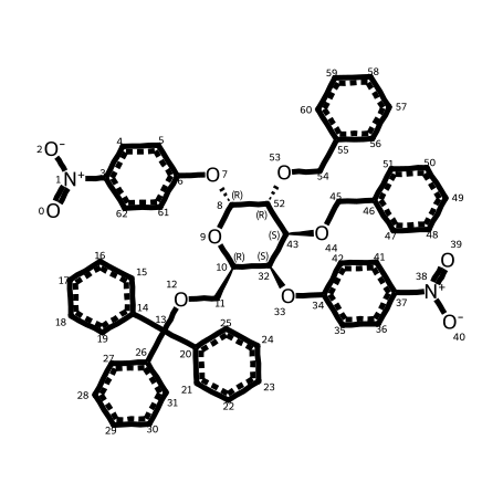 O=[N+]([O-])c1ccc(O[C@H]2O[C@H](COC(c3ccccc3)(c3ccccc3)c3ccccc3)[C@H](Oc3ccc([N+](=O)[O-])cc3)[C@H](OCc3ccccc3)[C@H]2OCc2ccccc2)cc1